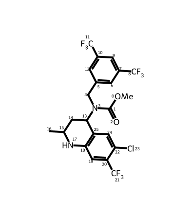 COC(=O)N(Cc1cc(C(F)(F)F)cc(C(F)(F)F)c1)C1CC(C)Nc2cc(C(F)(F)F)c(Cl)cc21